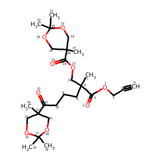 C#CCOC(=O)C(C)(CCCC(=O)C1(C)COC(C)(C)OC1)COC(=O)C1(C)COC(C)(C)OC1